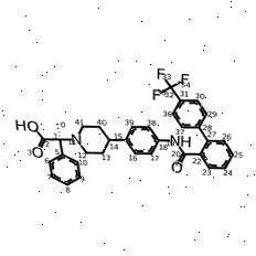 C[C@@](C(=O)O)(c1ccccc1)N1CCC(c2ccc(NC(=O)c3ccccc3-c3ccc(C(F)(F)F)cc3)cc2)CC1